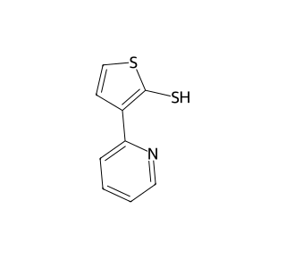 Sc1sccc1-c1ccccn1